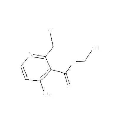 CCOC(=O)c1c(C)ccnc1CCl